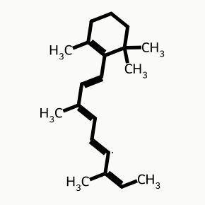 C/C=C(C)\[C]=C\C=C(C)C=CC1=C(C)CCCC1(C)C